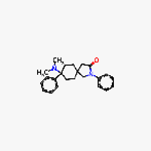 CN(C)C1(c2ccccc2)CCC2(CC1)CC(=O)N(c1ccccc1)C2